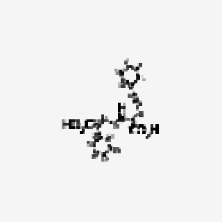 O=C(O)C(CC#Cc1ccccc1)NCCC(C(=O)O)c1ccccc1